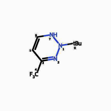 CC(C)(C)N1N=C(C(F)(F)F)C=[C]N1